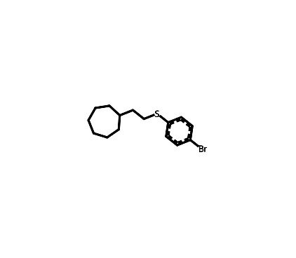 Brc1ccc(SCCC2CCCCCC2)cc1